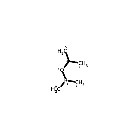 CB(C)OC(C)C